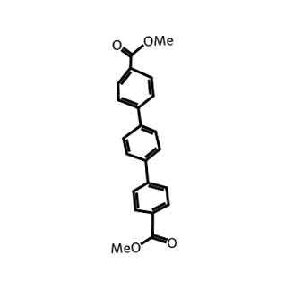 COC(=O)c1ccc(-c2ccc(-c3ccc(C(=O)OC)cc3)cc2)cc1